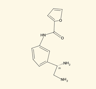 NC[C@@H](N)c1cccc(NC(=O)c2ccco2)c1